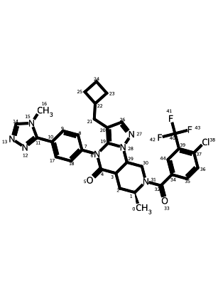 C[C@H]1CC2C(=O)N(c3ccc(-c4nncn4C)cc3)c3c(CC4CCC4)cnn3C2CN1C(=O)c1ccc(Cl)c(C(F)(F)F)c1